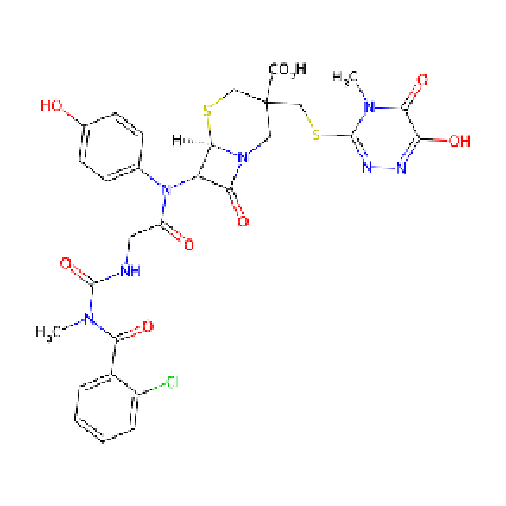 CN(C(=O)NCC(=O)N(c1ccc(O)cc1)C1C(=O)N2CC(CSc3nnc(O)c(=O)n3C)(C(=O)O)CS[C@H]12)C(=O)c1ccccc1Cl